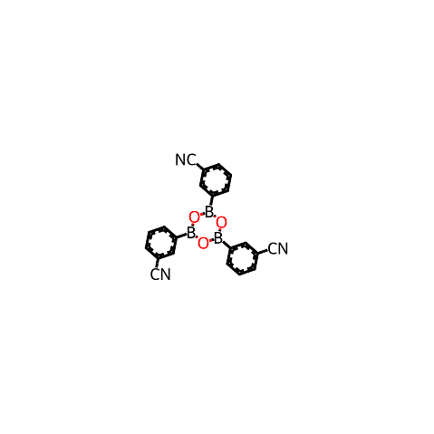 N#Cc1cccc(B2OB(c3cccc(C#N)c3)OB(c3cccc(C#N)c3)O2)c1